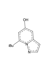 CCC(C)c1cc(O)cc2ccnn12